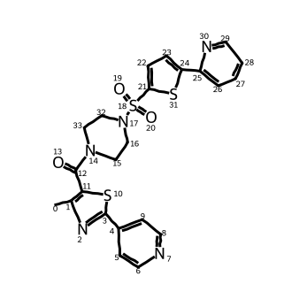 Cc1nc(-c2ccncc2)sc1C(=O)N1CCN(S(=O)(=O)c2ccc(-c3ccccn3)s2)CC1